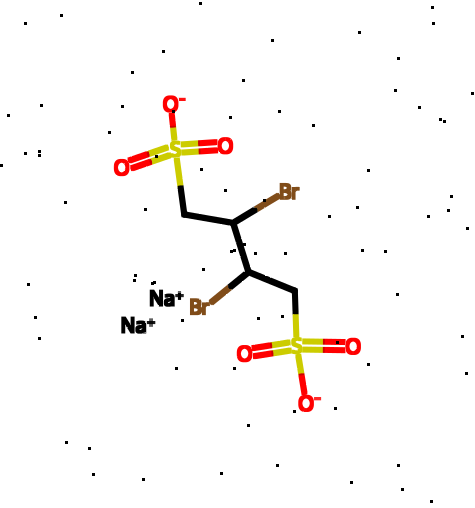 O=S(=O)([O-])CC(Br)C(Br)CS(=O)(=O)[O-].[Na+].[Na+]